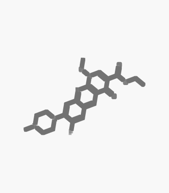 CCOC(=O)c1cn(OC)c2nc3cc(N4CCN(C)CC4)c(F)cc3cc2c1=O